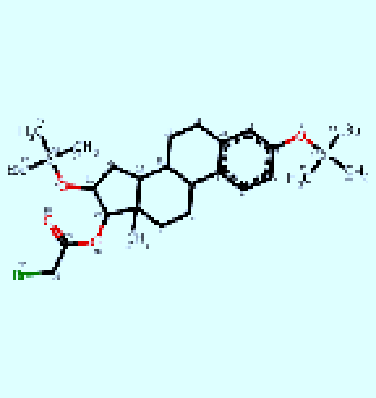 CC12CCC3c4ccc(O[Si](C)(C)C(C)(C)C)cc4CCC3C1CC(O[Si](C)(C)C(C)(C)C)C2OC(=O)CBr